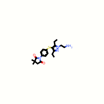 CCc1nn(CCN)c(CC)c1Sc1ccc(N2C(=O)CC(C)(C)C2=O)cc1